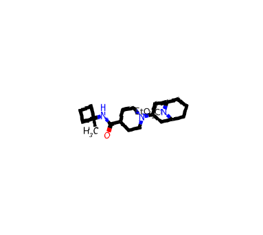 CCOC(=O)N1C2CCCC1CC(N1CCC(C(=O)NC3(C)CCC3)CC1)C2